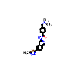 Cc1nnc(-c2ccc3cnc(NC(=O)c4ccc(CN(C)C)cc4)cc3c2)s1